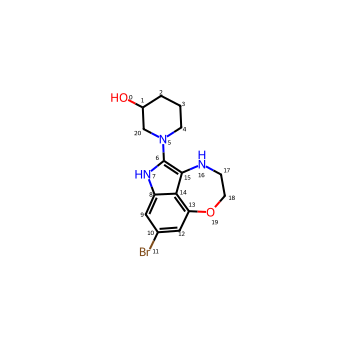 OC1CCCN(c2[nH]c3cc(Br)cc4c3c2NCCO4)C1